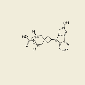 O=C(O)N1[C@@H]2CC[C@@H]1CC1(CC([C@@H]3c4ccccc4C4=CN(O)CN43)C1)C2